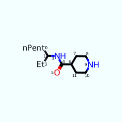 CCCCCC(CC)NC(=O)C1CCNCC1